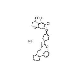 O=C(NCCc1ccccc1-c1ccccc1)c1ccc(Oc2cc3c(cc2Cl)C(C(=O)O)CCO3)cc1.[Na]